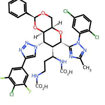 Cc1nc([C@H]2O[C@@H]3CO[C@H](c4ccccc4)O[C@@H]3[C@@H](n3cc(-c4cc(F)c(Cl)c(F)c4)nn3)[C@H]2C(CCNC(=O)O)NC(=O)O)n(-c2cc(Cl)ccc2Cl)n1